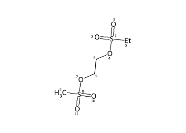 CCS(=O)(=O)OCCOS(C)(=O)=O